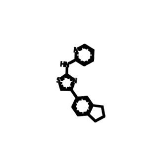 c1ccc(Nc2nc(-c3ccc4c(c3)CCC4)cs2)nc1